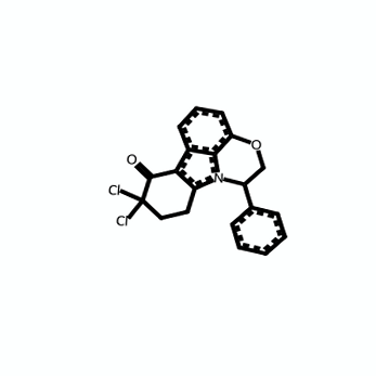 O=C1c2c(n3c4c(cccc24)OCC3c2ccccc2)CCC1(Cl)Cl